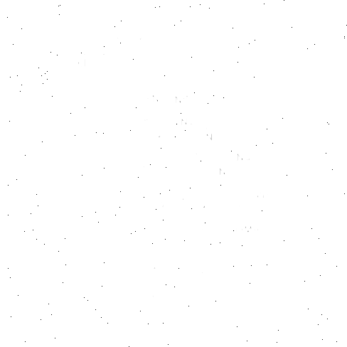 COC(=O)c1c(OCc2ccccc2)c2cccc(-c3cn(-c4cccc(Cl)c4)nn3)c2c2ncnn12